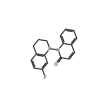 O=c1ccc2ccccc2n1N1CCCc2ccc(F)cc21